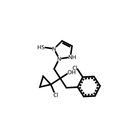 OC(Cc1ccccc1Cl)(CN1NC=CN1S)C1(Cl)CC1